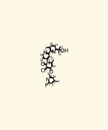 Cc1cc(F)nc(COc2cc(C)n(C3=CC(c4nc(C(C)(C)O)ccc4C)=NC[C@H]3C)c(=O)c2Cl)c1